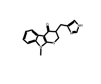 Cn1c2c(c3ccccc31)C(=O)C(Cc1c[nH]cn1)CS2